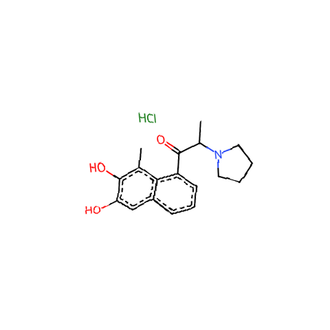 Cc1c(O)c(O)cc2cccc(C(=O)C(C)N3CCCC3)c12.Cl